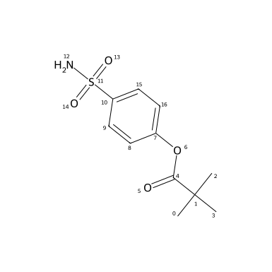 CC(C)(C)C(=O)Oc1ccc(S(N)(=O)=O)cc1